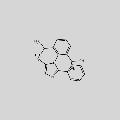 CC(C)c1cccc(C(C)C)c1-n1c(Br)nnc1-c1ccccc1